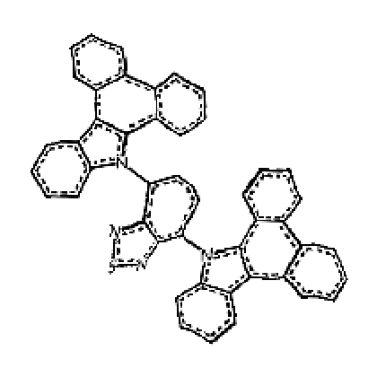 c1ccc2c(c1)c1ccccc1c1c2c2ccccc2n1-c1ccc(-n2c3ccccc3c3c4ccccc4c4ccccc4c32)c2nsnc12